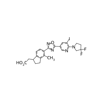 Cc1c(-c2noc(-c3cnc(N4CCC(F)(F)C4)c(I)c3)n2)ccc2c1CCC2CC(=O)O